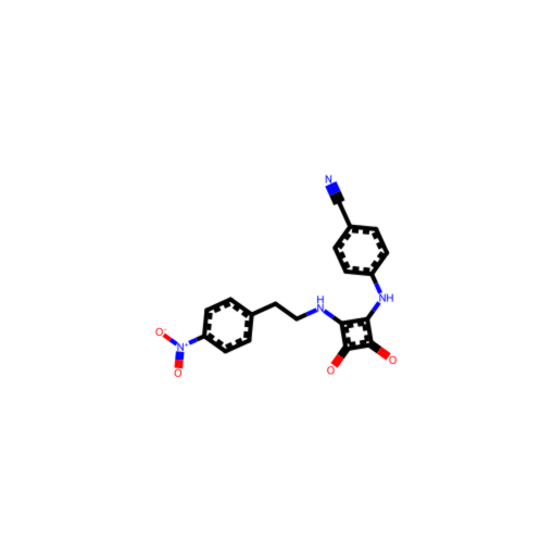 N#Cc1ccc(Nc2c(NCCc3ccc([N+](=O)[O-])cc3)c(=O)c2=O)cc1